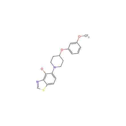 [O]c1c(N2CCC(Oc3cccc(OC(F)(F)F)c3)CC2)ccc2scnc12